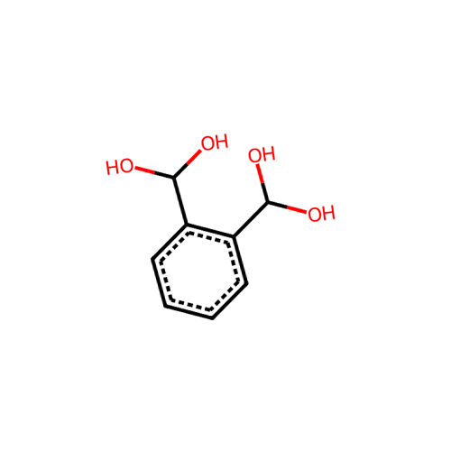 OC(O)c1ccccc1C(O)O